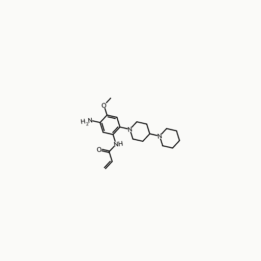 C=CC(=O)Nc1cc(N)c(OC)cc1N1CCC(N2CCCCC2)CC1